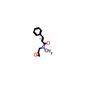 CN(CC1CO1)C(=O)/C=C/c1ccccc1